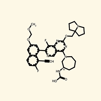 C#Cc1c(F)ccc2cc(OCOC)cc(-c3ncc4c(N5CCCC[C@@H](NC(=O)O)C5)nc(OCC56CCCN5CCC6)nc4c3F)c12